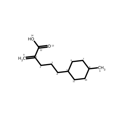 C=C(CCCC1CCC(C)CC1)C(=O)O